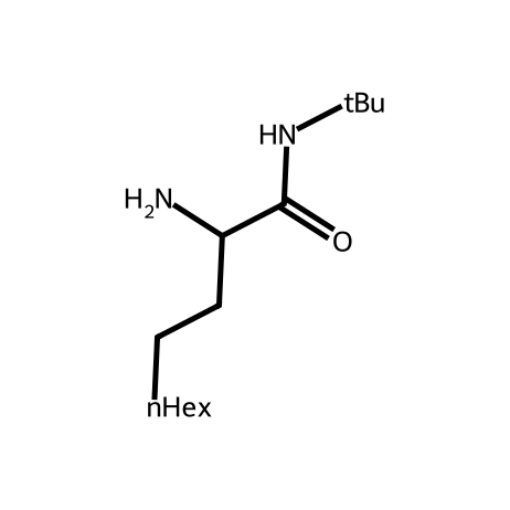 CCCCCCCCC(N)C(=O)NC(C)(C)C